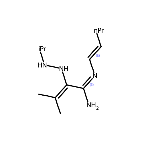 CCC/C=C/N=C(/N)C(NNC(C)C)=C(C)C